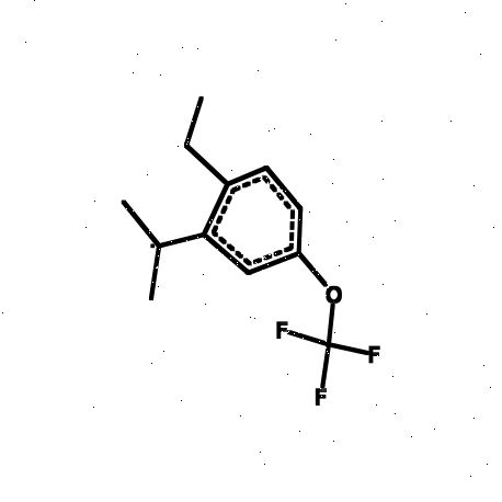 CCc1ccc(OC(F)(F)F)cc1[C](C)C